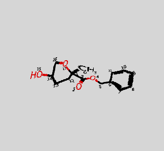 CC1(C(=O)OCc2ccccc2)CCC(O)CO1